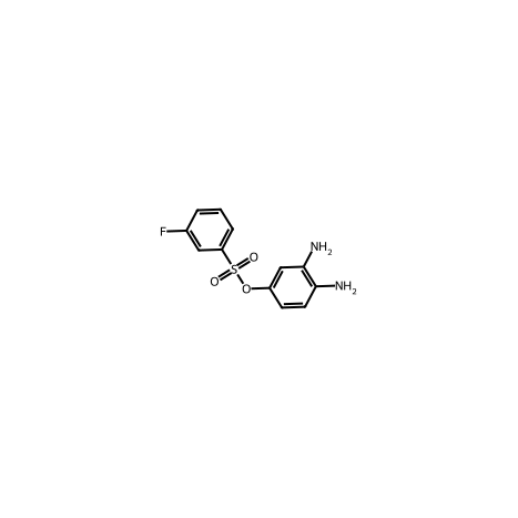 Nc1ccc(OS(=O)(=O)c2cccc(F)c2)cc1N